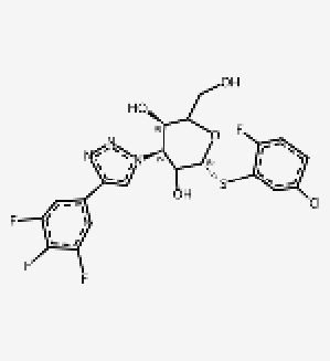 OCC1O[C@H](Sc2cc(Cl)ccc2F)C(O)[C@@H](n2cc(-c3cc(F)c(F)c(F)c3)nn2)[C@H]1O